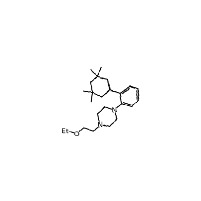 CCOCCN1CCN(c2ccccc2C2CC(C)(C)CC(C)(C)C2)CC1